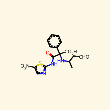 CC(CC=O)NC(C(=O)O)(C(=O)Nc1ncc([N+](=O)[O-])s1)c1ccccc1